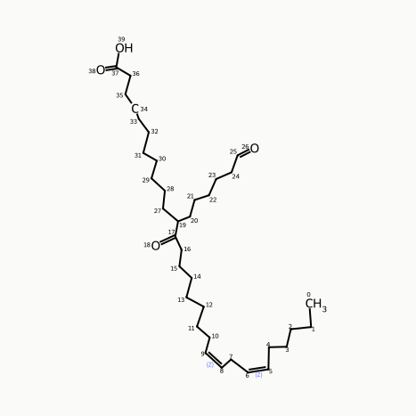 CCCCC/C=C\C/C=C\CCCCCCCC(=O)C(CCCCCC=O)CCCCCCCCCCC(=O)O